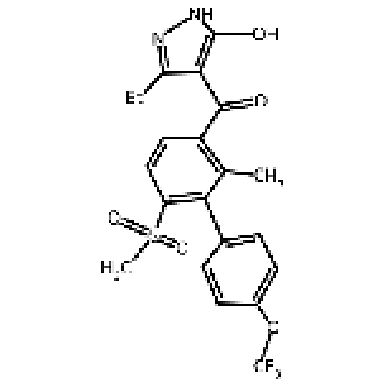 CCc1n[nH]c(O)c1C(=O)c1ccc(S(C)(=O)=O)c(-c2ccc(OC(F)(F)F)cc2)c1C